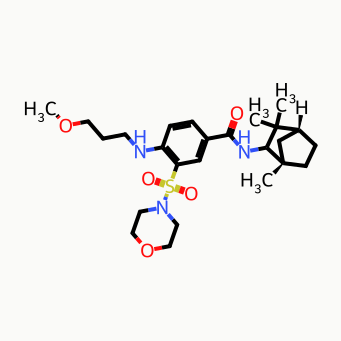 COCCCNc1ccc(C(=O)NC2C(C)(C)[C@@H]3CC[C@@]2(C)C3)cc1S(=O)(=O)N1CCOCC1